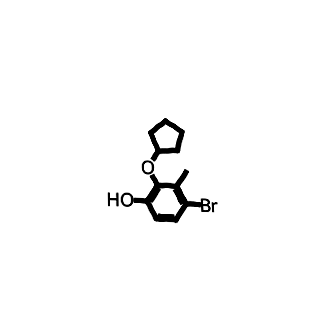 Cc1c(Br)ccc(O)c1OC1CCCC1